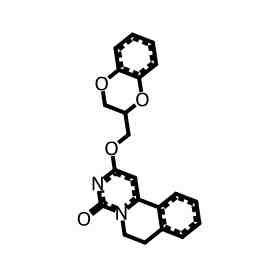 O=c1nc(OCC2COc3ccccc3O2)cc2n1CCc1ccccc1-2